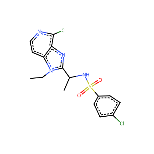 CCn1c(C(C)NS(=O)(=O)c2ccc(Cl)cc2)nc2c(Cl)nccc21